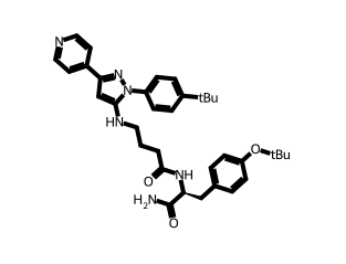 CC(C)(C)Oc1ccc(C[C@H](NC(=O)CCCNc2cc(-c3ccncc3)nn2-c2ccc(C(C)(C)C)cc2)C(N)=O)cc1